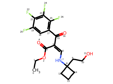 CCOC(=O)C(=CNC1(CCO)CCC1)C(=O)c1cc(F)c(F)c(F)c1F